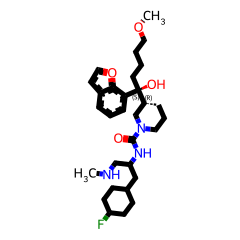 CNCC(CC1CCC(F)CC1)NC(=O)N1CCC[C@@H]([C@@](O)(CCCCOC)c2cccc3ccoc23)C1